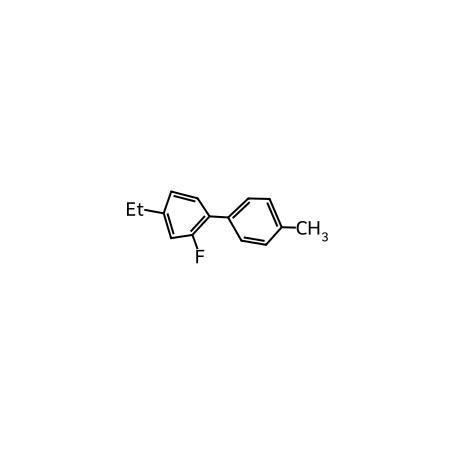 CCc1ccc(-c2ccc(C)cc2)c(F)c1